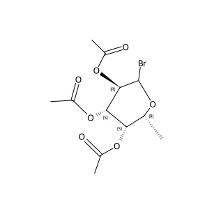 CC(=O)O[C@@H]1[C@H](OC(C)=O)[C@@H](OC(C)=O)C(Br)O[C@@H]1C